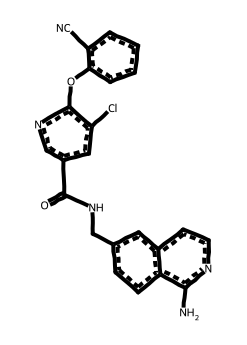 N#Cc1ccccc1Oc1ncc(C(=O)NCc2ccc3c(N)nccc3c2)cc1Cl